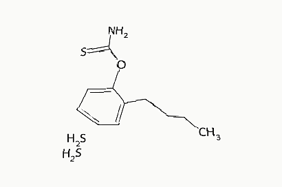 CCCCc1ccccc1OC(N)=S.S.S